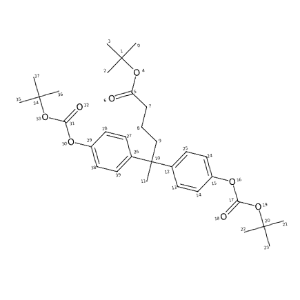 CC(C)(C)OC(=O)CCCC(C)(c1ccc(OC(=O)OC(C)(C)C)cc1)c1ccc(OC(=O)OC(C)(C)C)cc1